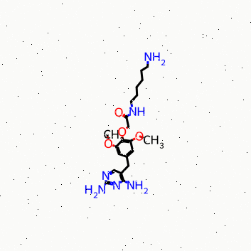 COc1cc(Cc2cnc(N)nc2N)cc(OC)c1OCC(=O)NCCCCCCN